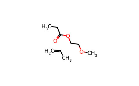 C=CC.CCC(=O)OCCOC